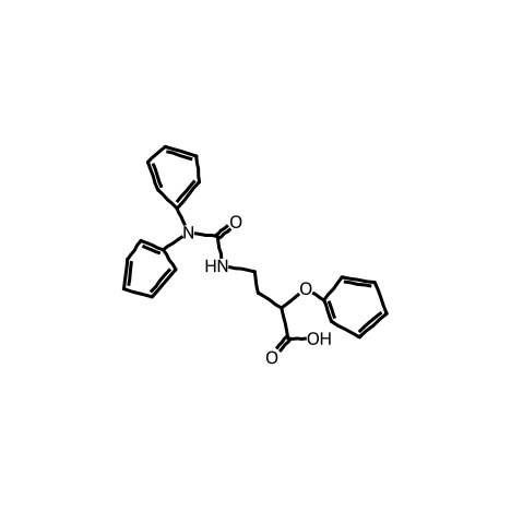 O=C(O)C(CCNC(=O)N(c1ccccc1)c1ccccc1)Oc1ccccc1